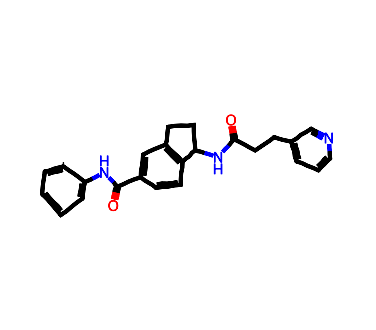 O=C(CCc1cccnc1)NC1CCc2cc(C(=O)Nc3[c]cccc3)ccc21